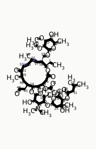 CC[C@H]1OC(=O)C[C@@H](OC(C)=O)[C@H](C)[C@@H](O[C@@H]2O[C@H](C)[C@@H](O[C@H]3C[C@@](C)(O)[C@@H](OC(=O)CC(C)C)[C@H](C)O3)[C@H](N(C)C)[C@H]2O)[C@@H](CC=O)C[C@@H](C)C(=O)/C=C/C(C)=C/[C@@H]1CO[C@@H]1O[C@H](C)[C@@H](O)[C@@H](OC)[C@H]1OC